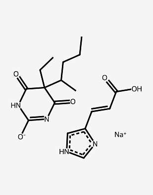 CCCC(C)C1(CC)C(=O)N=C([O-])NC1=O.O=C(O)/C=C/c1c[nH]cn1.[Na+]